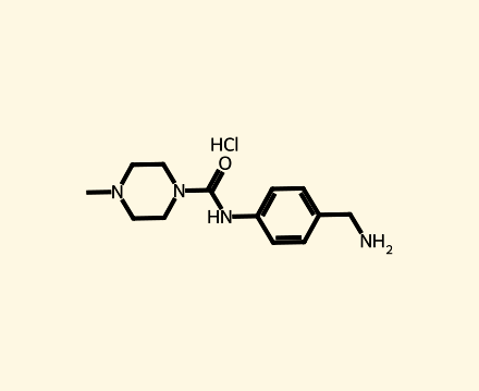 CN1CCN(C(=O)Nc2ccc(CN)cc2)CC1.Cl